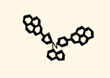 c1ccc2c(N(c3ccc(-c4cc5ccc6cccc7ccc(c4)c5c67)cc3)c3ccc(-c4cc5ccc6cccc7ccc(c4)c5c67)cc3)cccc2c1